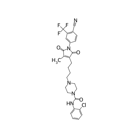 CC1=C(CCCCN2CCN(C(=O)Nc3ccccc3Cl)CC2)C(=O)N(c2ccc(C#N)c(C(F)(F)F)c2)C1=O